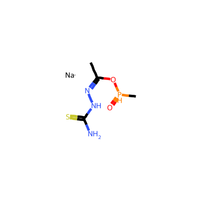 CC(=NNC(N)=S)O[PH](C)=O.[Na]